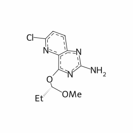 CC[C@@H](OC)Oc1nc(N)nc2ccc(Cl)nc12